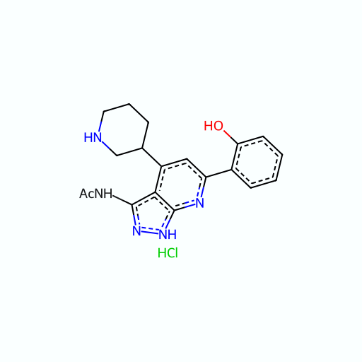 CC(=O)Nc1n[nH]c2nc(-c3ccccc3O)cc(C3CCCNC3)c12.Cl